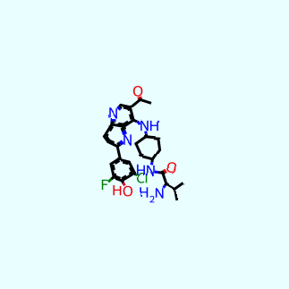 CC(=O)c1cnc2ccc(-c3cc(F)c(O)c(Cl)c3)nc2c1NC1CCC(NC(=O)C(N)C(C)C)CC1